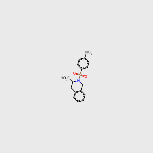 O=C(O)C1Cc2ccccc2CN1S(=O)(=O)c1ccc([N+](=O)[O-])cc1